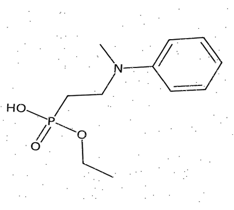 CCOP(=O)(O)CCN(C)c1ccccc1